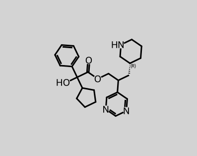 O=C(OCC(C[C@H]1CCCNC1)c1cncnc1)C(O)(c1ccccc1)C1CCCC1